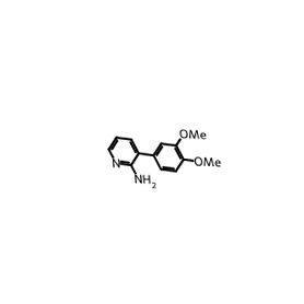 COc1ccc(-c2cccnc2N)cc1OC